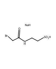 O=C(CBr)NCCS(=O)(=O)O.[NaH]